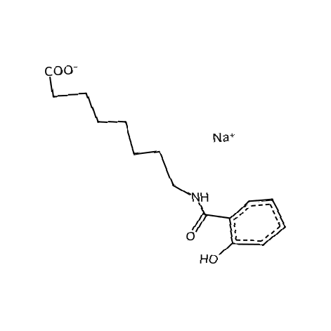 O=C([O-])CCCCCCCNC(=O)c1ccccc1O.[Na+]